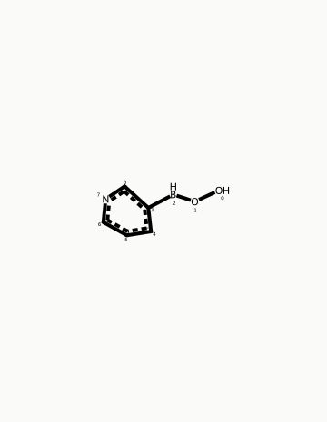 OOBc1cccnc1